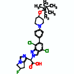 CC(C)(C)[Si](C)(C)OC1CCN(c2ccc(-c3cc(Cl)c4cn(C(C(=O)O)c5ncn6c5CC(F)C6)nc4c3Cl)cc2)CC1